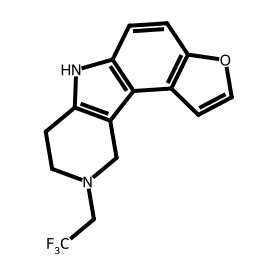 FC(F)(F)CN1CCc2[nH]c3ccc4occc4c3c2C1